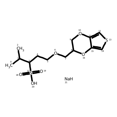 CC(C)C(CCOCC1COc2cscc2O1)S(=O)(=O)O.[NaH]